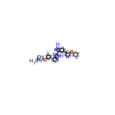 CN(C)CCOc1cc(F)cc(-c2ccnc3[nH]c(-c4n[nH]c5ccc(-c6cncc(OC7CCCCC7)c6)cc45)nc23)c1